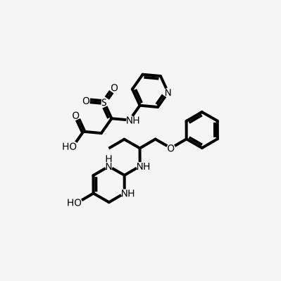 CCC(COc1ccccc1)NC1NC=C(O)CN1.O=C(O)CC(Nc1cccnc1)=S(=O)=O